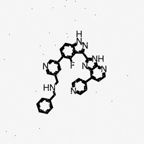 Fc1c(-c2cncc(CNCc3ccccc3)c2)ccc2[nH]nc(-c3nc4c(-c5ccncc5)ccnc4[nH]3)c12